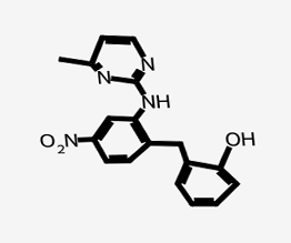 Cc1ccnc(Nc2cc([N+](=O)[O-])ccc2Cc2ccccc2O)n1